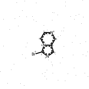 Brc1ncc2cnccn12